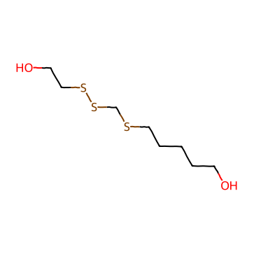 OCCCCCSCSSCCO